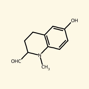 CN1c2ccc(O)cc2CCC1C=O